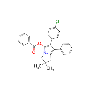 CC1(C)Cc2c(-c3ccccc3)c(-c3ccc(Cl)cc3)c(OC(=O)c3ccccc3)n2C1